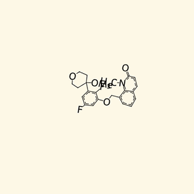 COC1(c2cc(F)cc(OCc3cccc4ccc(=O)n(C)c34)c2F)CCOCC1